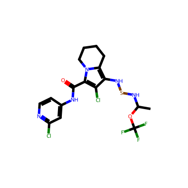 CC(NSNc1c(Cl)c(C(=O)Nc2ccnc(Cl)c2)n2c1CCCC2)OC(F)(F)F